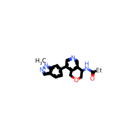 CCC(=O)NC1COCc2c(-c3ccc4cnn(C)c4c3)cncc21